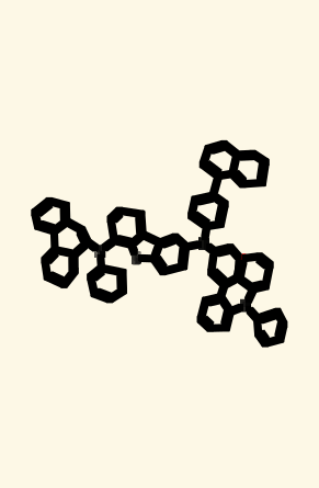 c1ccc(N(c2ccccc2)c2ccccc2-c2cccc(N(c3ccc(-c4cccc5ccccc45)cc3)c3ccc4sc5c(N(c6ccccc6)c6cc7ccccc7c7ccccc67)cccc5c4c3)c2)cc1